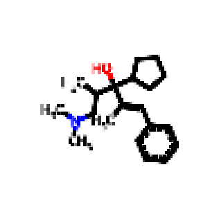 CC(=Cc1ccccc1)C(O)(C(C)CN(C)C)C1CCCC1